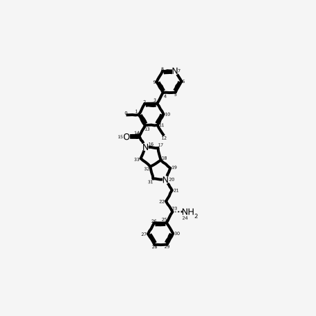 Cc1cc(-c2ccncc2)cc(C)c1C(=O)N1CC2CN(CC[C@H](N)c3ccccc3)CC2C1